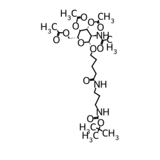 CC(=O)N[C@H]1[C@H](OCCCCC(=O)NCCCNC(=O)OC(C)(C)C)O[C@H](COC(C)=O)[C@H](OC(C)=O)[C@@H]1OC(C)=O